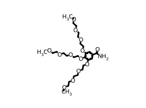 COCCOCCOCCOc1cc(C(N)=O)cc(OCCOCCOCCOC)c1OCCOCCOCCOC